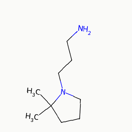 CC1(C)CCCN1CCCN